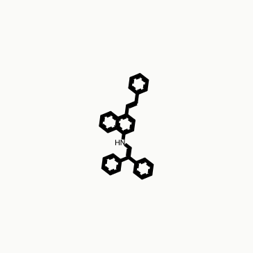 C(Nc1ccc(/C=C/c2ccccc2)c2ccccc12)=C(c1ccccc1)c1ccccc1